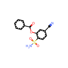 N#Cc1ccc(S(N)(=O)=O)c(OC(=O)c2ccccc2)c1